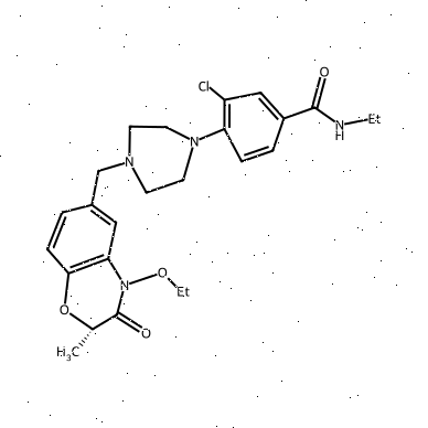 CCNC(=O)c1ccc(N2CCN(Cc3ccc4c(c3)N(OCC)C(=O)[C@H](C)O4)CC2)c(Cl)c1